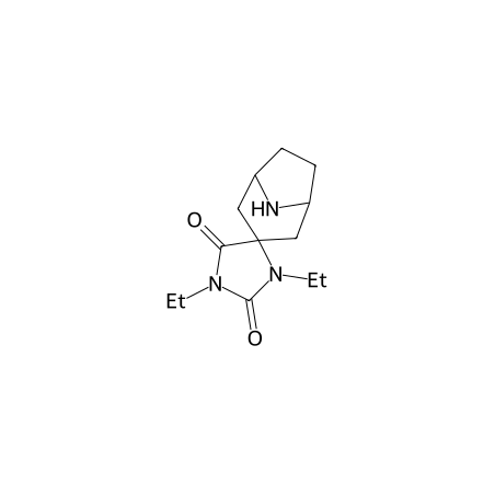 CCN1C(=O)N(CC)C2(CC3CCC(C2)N3)C1=O